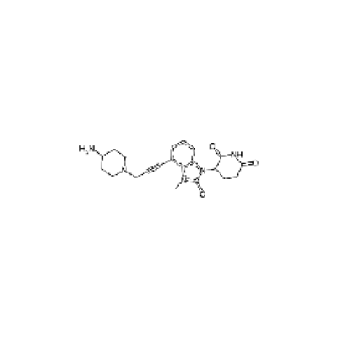 Cn1c(=O)n(C2CCC(=O)NC2=O)c2cccc(C#CCN3CCC(N)CC3)c21